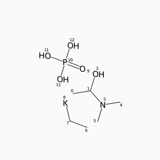 CC(O)N(C)C.C[CH2][K].O=P(O)(O)O